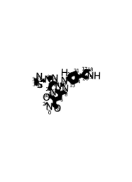 CN(C)C(=O)c1cc2cnc(Nc3ccc(C4CCNC4)cc3)nc2n(Cc2cncn2-c2nccs2)c1=O